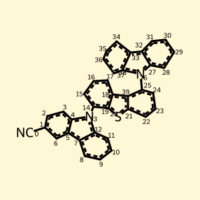 N#Cc1ccc2c(c1)c1ccccc1n2-c1cccc2c1sc1cccc(-n3c4ccccc4c4ccccc43)c12